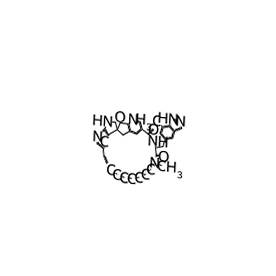 Cc1cc(CC2NC(=O)c3cnc4c(c3)CC3(C4)C(=O)Nc4ncc(cc43)C=CCCCCCCCN(C)C2=O)cc2cn[nH]c12